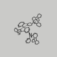 c1ccc(N(c2ccc3c(c2)-c2ccccc2C32c3ccc(N(c4ccccc4)c4cccc5c4oc4ccccc45)cc3-c3sc4ccccc4c32)c2cccc3c2oc2ccccc23)cc1